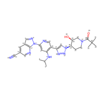 CC(C)Nc1cc(-n2ncc3cc(C#N)cnc32)ncc1-c1cn([C@@H]2CCN(C(=O)C(C)(C)C)C[C@@H]2O)nn1